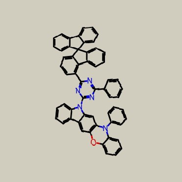 c1ccc(-c2nc(-c3cccc4c3-c3ccccc3C43c4ccccc4-c4ccccc43)nc(-n3c4ccccc4c4cc5c(cc43)N(c3ccccc3)c3ccccc3O5)n2)cc1